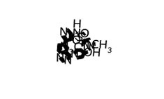 Cc1nn(C)cc1S(=O)(=O)Nc1cncc(-c2ccc3ncnc(N4CCC(O)CC4)c3c2)c1